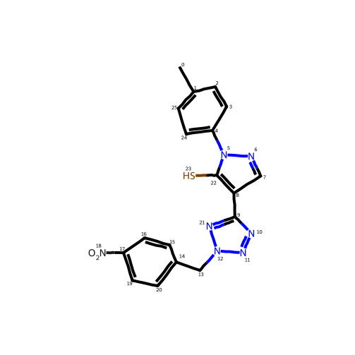 Cc1ccc(-n2ncc(-c3nnn(Cc4ccc([N+](=O)[O-])cc4)n3)c2S)cc1